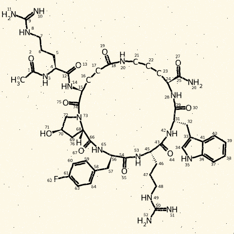 CC(=O)N[C@@H](CCCNC(=N)N)C(=O)N[C@H]1CCC(=O)NCCC[C@@H](C(N)=O)NC(=O)[C@H](Cc2c[nH]c3ccccc23)NC(=O)[C@H](CCCNC(=N)N)NC(=O)[C@@H](Cc2ccc(F)cc2)NC(=O)[C@@H]2C[C@@H](O)CN2C1=O